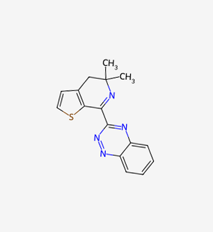 CC1(C)Cc2ccsc2C(c2nnc3ccccc3n2)=N1